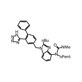 CCCCCN(C(=O)NC)c1cccc2c1nc(CCCC)n2Cc1ccc(-c2ccccc2)c(-c2nnn[nH]2)c1